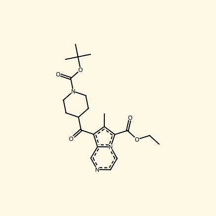 CCOC(=O)c1c(C)c(C(=O)C2CCN(C(=O)OC(C)(C)C)CC2)c2cnccn12